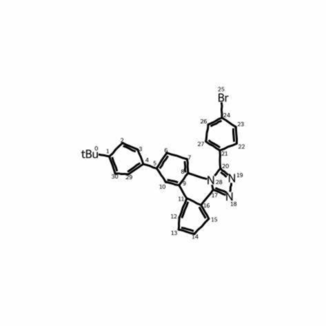 CC(C)(C)c1ccc(-c2ccc3c(c2)c2ccccc2c2nnc(-c4ccc(Br)cc4)n32)cc1